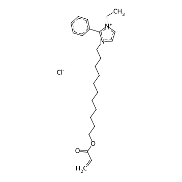 C=CC(=O)OCCCCCCCCCCCn1cc[n+](CC)c1-c1ccccc1.[Cl-]